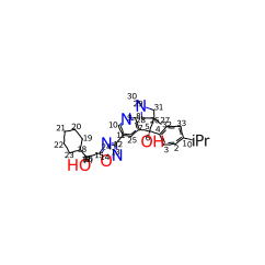 CC(C)c1ccc(C(O)(c2cncc(-c3noc([C@H](O)C4CCCCC4)n3)c2)C2(C)CN(C)C2)cc1